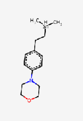 [CH3][SnH]([CH3])[CH2]Cc1ccc(N2CCOCC2)cc1